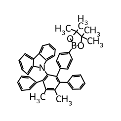 Cc1c(C)c(-c2ccccc2)c(-n2c3ccccc3c3ccccc32)c(-c2ccc(B3OC(C)(C)C(C)(C)O3)cc2)c1-c1ccccc1